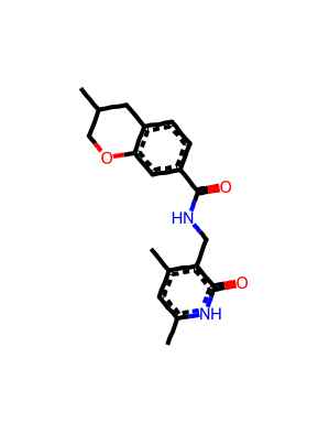 Cc1cc(C)c(CNC(=O)c2ccc3c(c2)OCC(C)C3)c(=O)[nH]1